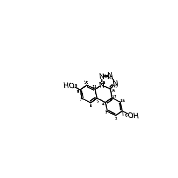 Oc1ccc2c3ccc(O)cc3n3nnnc3c2c1